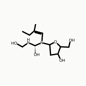 CC/C(C)=C\N(C1CC(O)C(CO)O1)[C@H](O)NCO